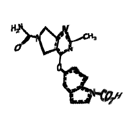 Cc1nc2c(c(Oc3ccc4c(ccn4C(=O)O)c3)n1)CN(C(N)=O)C2